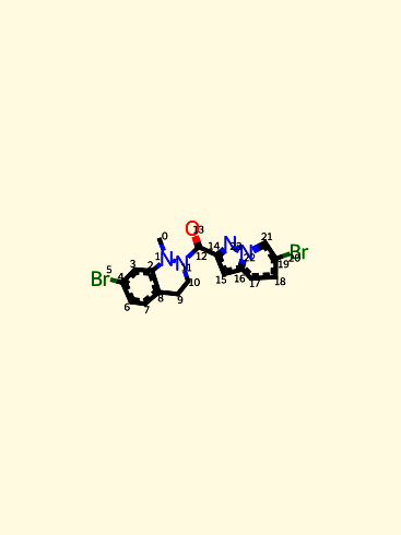 CN1c2cc(Br)ccc2CCN1C(=O)c1cc2ccc(Br)cn2n1